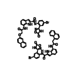 O=C(COc1ccc2ccccc2c1)Nc1cccc2cc(C(=O)Nc3ccc(Br)cc3-c3noc(=O)[nH]3)[nH]c12.O=C(Cc1cccc2ccccc12)Nc1cccc2cc(C(=O)Nc3ccc(Br)cc3-c3noc(=O)[nH]3)[nH]c12